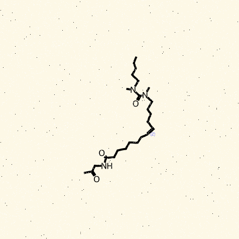 CCCCCN(C)C(=O)N(C)CCCC/C=C\CCCCCCC(=O)NCC(C)=O